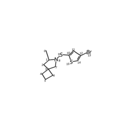 CC1CC2(CCC2)CN1Sc1cc(Br)cs1